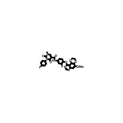 COc1cc2ncnc(Oc3ccc(NC(=O)c4cn(C)c(=O)n(-c5ccc(F)cc5)c4=O)cc3F)c2c2c1OCCO2